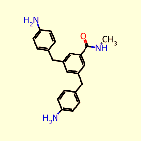 CNC(=O)c1cc(Cc2ccc(N)cc2)cc(Cc2ccc(N)cc2)c1